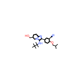 CC(C)COc1ccc(-c2nc3ccc(CO)cn3c2NC(C)(C)C(C)(C)C)cc1C#N